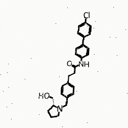 O=C(CCc1ccc(CN2CCC[C@@H]2CO)cc1)Nc1ccc(-c2ccc(Cl)cc2)cc1